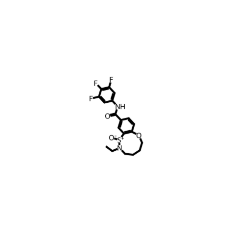 CCN1CCCCOc2ccc(C(=O)Nc3cc(F)c(F)c(F)c3)cc2[S+]1[O-]